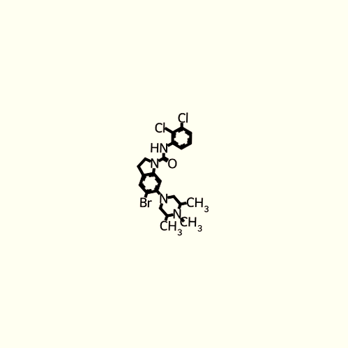 CC1CN(c2cc3c(cc2Br)CCN3C(=O)Nc2cccc(Cl)c2Cl)CC(C)N1C